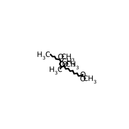 CCCCCC(OC)C(C)CC(C)C(CCCCCCCC(=O)OC)OC